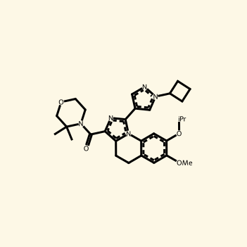 COc1cc2c(cc1OC(C)C)-n1c(-c3cnn(C4CCC4)c3)nc(C(=O)N3CCOCC3(C)C)c1CC2